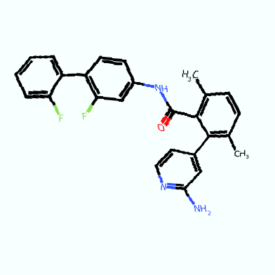 Cc1ccc(C)c(-c2ccnc(N)c2)c1C(=O)Nc1ccc(-c2ccccc2F)c(F)c1